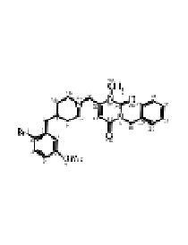 COc1ccc(Br)c(CC2CCN(Cc3cc(=O)n(Cc4ccccc4)c(=O)n3C)CC2)c1